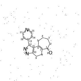 O=C1CCCCC2=C1CCC1=C2C(c2ccncc2)N=N1